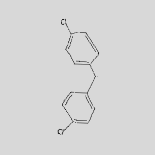 Clc1ccc([CH]c2ccc(Cl)cc2)cc1